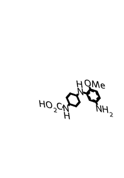 COc1ccc(N)cc1NC1CCC(NC(=O)O)CC1